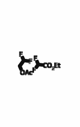 CC(=O)OCC(F)F.CCOC(=O)C(F)F